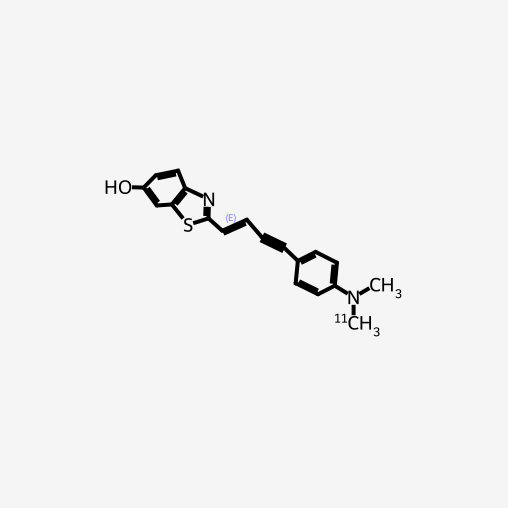 CN([11CH3])c1ccc(C#C/C=C/c2nc3ccc(O)cc3s2)cc1